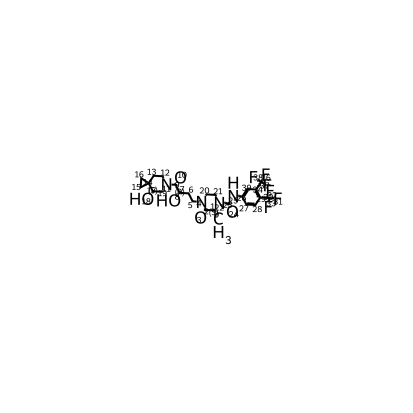 C[C@H]1C(=O)N(CC[C@@H](O)C(=O)N2CCC3(CC3)[C@H](O)C2)CCN1C(=O)Nc1ccc(C(F)(F)F)c(C(F)(F)F)c1